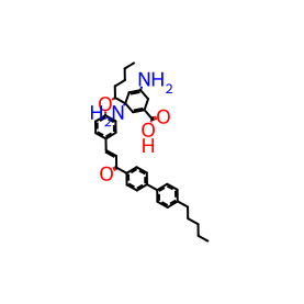 CCCCCc1ccc(-c2ccc(C(=O)/C=C/c3ccc(OC(CCCC)C4(N)C=C(N)CC(C(=O)O)=C4)cc3)cc2)cc1